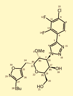 CO[C@@H]1[C@@H](n2cc(-c3ccc(Cl)c(F)c3F)nn2)[C@@H](O)[C@@H](CO)O[C@@H]1Cc1cc(C(C)(C)C)no1